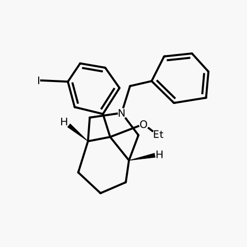 CCOC1(c2cccc(I)c2)[C@@H]2CCC[C@H]1CN(Cc1ccccc1)C2